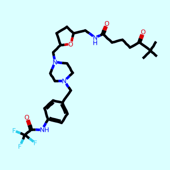 CC(C)(C)C(=O)CCCC(=O)NCC1CCC(CN2CCN(Cc3ccc(NC(=O)C(F)(F)F)cc3)CC2)O1